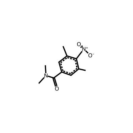 Cc1cc(C(=O)N(C)C)cc(C)c1[N+](=O)[O-]